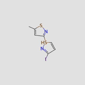 Cc1cc([SH]2C=CC(I)=N2)ns1